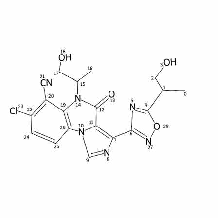 CC(CO)c1nc(-c2ncn3c2c(=O)n(C(C)CO)c2c(C#N)c(Cl)ccc23)no1